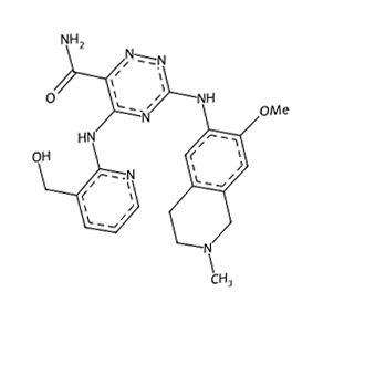 COc1cc2c(cc1Nc1nnc(C(N)=O)c(Nc3ncccc3CO)n1)CCN(C)C2